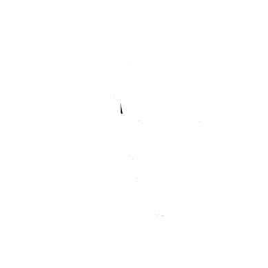 COc1ccc(Cl)cc1C(=O)/N=c1\sc(C(C)(C)C)cn1C[C@H]1CCC(=O)O1